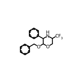 FC(F)(F)C1COC(OCc2ccccc2)C(c2ccccc2)N1